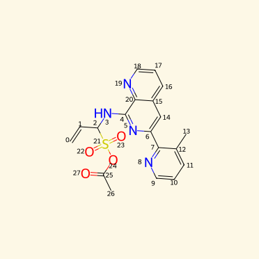 C=CC(Nc1nc(-c2ncccc2C)cc2cccnc12)S(=O)(=O)OC(C)=O